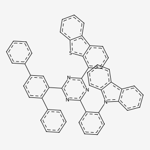 c1ccc(-c2ccc(-c3ccccc3)c(-c3nc(-c4ccccc4-n4c5ccccc5c5ccccc54)nc(-c4cccc5c4sc4ccccc45)n3)c2)cc1